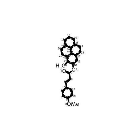 COc1ccc(C=CC(=O)Oc2cc3ccc4cccc5ccc(c2C)c3c45)cc1